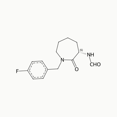 O=CN[C@H]1CCCCN(Cc2ccc(F)cc2)C1=O